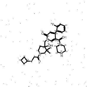 CC1(C)CN(C(=O)CCC2CCC2)CCC1(O)Cn1cc(C(=O)N2CCNCC2)c(-c2ccccc2F)cc1=O